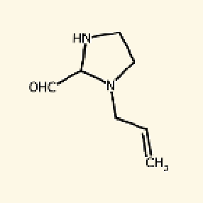 C=CCN1CCNC1C=O